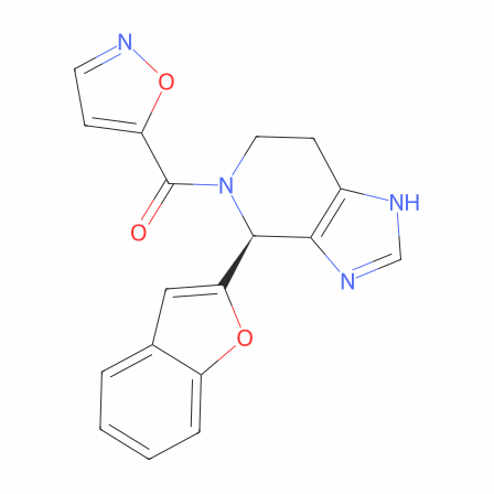 O=C(c1ccno1)N1CCc2[nH]cnc2[C@H]1c1cc2ccccc2o1